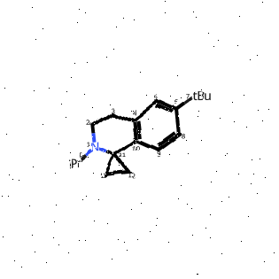 CC(C)N1CCc2cc(C(C)(C)C)ccc2C12CC2